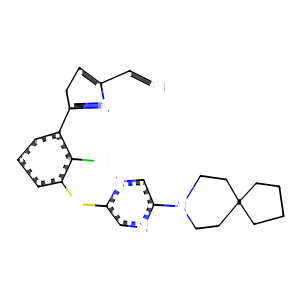 C=CC1=CCC(c2cccc(Sc3cnc(N4CCC5(CCCC5)CC4)cn3)c2Cl)=N1